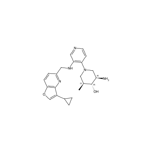 C[C@H]1CN(c2ccncc2NCc2ccc3occ(C4CC4)c3n2)C[C@@H](N)[C@@H]1O